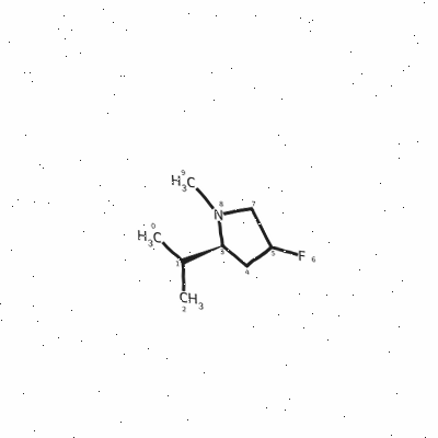 CC(C)[C@@H]1CC(F)CN1C